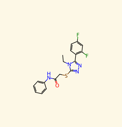 CCn1c(SCC(=O)Nc2ccccc2)nnc1-c1ccc(F)cc1F